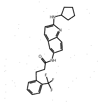 O=C(CCc1ccccc1C(F)(F)F)Nc1ccc2nc(NC3CCCC3)ccc2c1